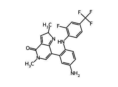 CC1C=c2c(c(-c3cc(N)ccc3Nc3ccc(C(F)(F)F)cc3F)cn(C)c2=O)=N1